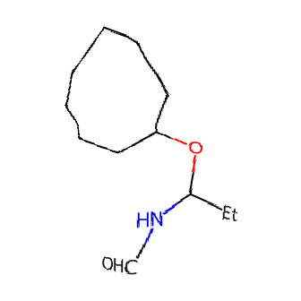 [CH2]CC(NC=O)OC1CCCCCCC1